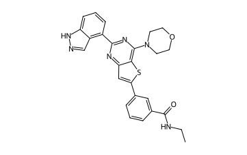 CCNC(=O)c1cccc(-c2cc3nc(-c4cccc5[nH]ncc45)nc(N4CCOCC4)c3s2)c1